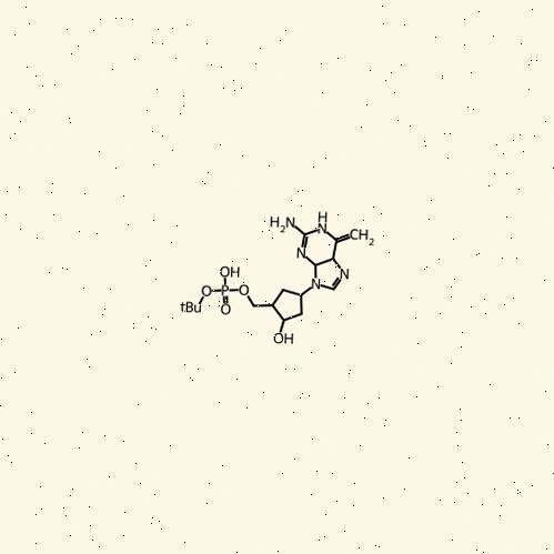 C=C1NC(N)=NC2C1N=CN2C1CC(O)C(COP(=O)(O)OC(C)(C)C)C1